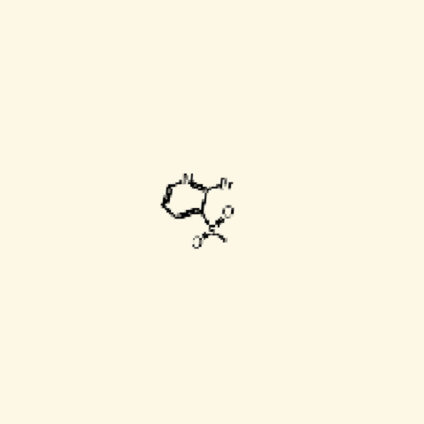 CS(=O)(=O)c1cccnc1Br